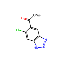 COC(=O)c1cc2nn[nH]c2cc1Cl